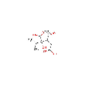 CC(=O)C(CC(=O)O)C(O)(C(=O)O)C(C)C